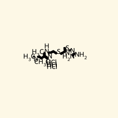 Cc1[nH]c(CCSCc2csc(N=C(N)N)n2)nc(=O)c1CCN(C)C.Cl.Cl.Cl